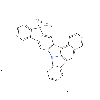 CC1(C)c2ccccc2-c2cc3c(cc21)c1c2ccccc2cc2c4ccccc4n3c21